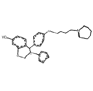 Oc1ccc2c(c1)OC[C@H](c1ccccc1)C2c1ccc(OCCCCN2CCCC2)cc1